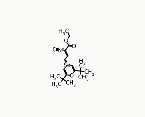 [C-]#[N+]C(=CC=[Se]1C=C(C(C)(C)C)OC(C(C)(C)C)=C1)C(=O)OCC